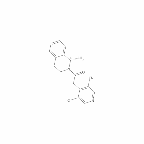 C[C@H]1c2ccccc2CCN1C(=O)Cc1c(Cl)cncc1C#N